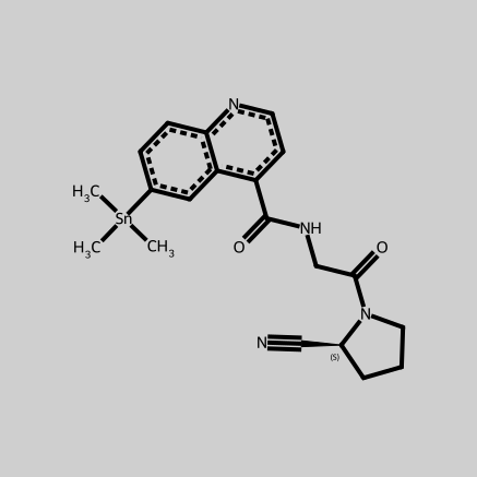 [CH3][Sn]([CH3])([CH3])[c]1ccc2nccc(C(=O)NCC(=O)N3CCC[C@H]3C#N)c2c1